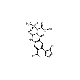 CCCCOC(=O)N(n1c(=O)[nH]c2cc(C(F)F)c(-c3ccnn3CC)cc2c1=O)S(C)(=O)=O